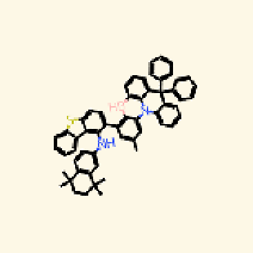 Cc1cc(-c2ccc3sc4ccccc4c3c2Nc2ccc3c(c2)C(C)(C)CCC3(C)C)c2c(c1)N1c3ccccc3C(c3ccccc3)(c3ccccc3)c3cccc(c31)B2